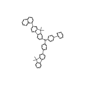 CC1(C)c2ccccc2-c2ccc(-c3ccc(N(c4ccc(-c5ccccc5)cc4)c4ccc5c(c4)C(C)(C)c4cc(-c6cccc7ccccc67)ccc4-5)cc3)cc21